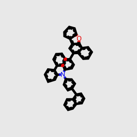 c1ccc(-c2ccccc2N(c2ccc(-c3cccc4ccccc34)cc2)c2ccc(-c3cc4c5ccccc5oc4c4ccccc34)cc2)cc1